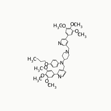 CCCCOc1ccc(N(Cc2ccnc(-c3cc(OC)c(OC)c(OC)c3)c2)C2CCN(Cc3cncc(-c4cc(OC)c(OC)c(OC)c4)c3)CC2)cc1